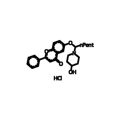 CCCCCC(Oc1ccc2oc(-c3ccccc3)cc(=O)c2c1)N1CCC(O)CC1.Cl